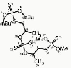 CCCCOP(=S)(OCCCC)SCC(C)OP(=S)(S)OC(C)CSP(=S)(OC)OC